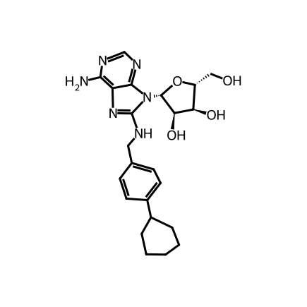 Nc1ncnc2c1nc(NCc1ccc(C3CCCCC3)cc1)n2[C@@H]1O[C@H](CO)[C@@H](O)[C@H]1O